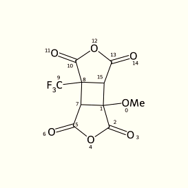 COC12C(=O)OC(=O)C1C1(C(F)(F)F)C(=O)OC(=O)C21